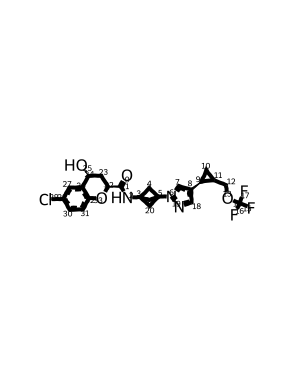 O=C(NC12CC(n3cc([C@H]4CC4COC(F)(F)F)cn3)(C1)C2)[C@@H]1C[C@@H](O)c2cc(Cl)ccc2O1